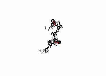 COc1ccc(CN2C3CC2CN(c2ccc(-c4cc(OCCCS(=O)(=O)CCOc5ccc(CN6C7CC6CN(c6ccc(-c8cc(OCCC[S+](C)[O-])cn9ncc(N)c89)cn6)C7)cn5)cn5ncc(C#N)c45)cn2)C3)cn1